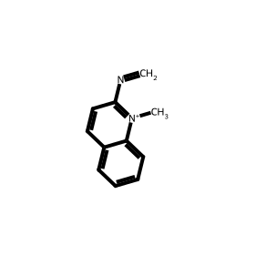 C=Nc1ccc2ccccc2[n+]1C